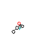 O=C(B1C=CC=C1)c1ccc(-c2ccccc2)cc1F